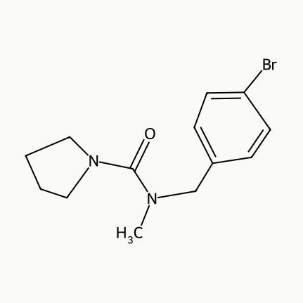 CN(Cc1ccc(Br)cc1)C(=O)N1CCCC1